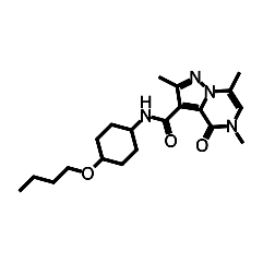 CCCCOC1CCC(NC(=O)c2c(C)nn3c(C)cn(C)c(=O)c23)CC1